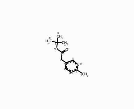 Cc1ncc(CC(=O)OC(C)(C)C)cn1